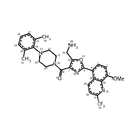 COc1ccc(-c2nc(C(=O)N3CCN(c4c(C)cccc4C)CC3)c(CN)o2)c2ccc(C(F)(F)F)nc12